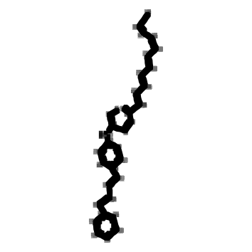 C=C(/C=C\C(=C/C)Nc1ccc(/C=C/C=C/c2ccccc2)cc1)/C=C/C=C/C=C/C=C\C=C/C